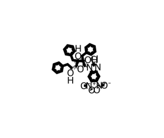 O=[N+]([O-])c1cc2nc(Cl)n([C@@H]3O[C@H](C(O)Cc4ccccc4)[C@](O)(Cc4ccccc4)[C@]3(O)Cc3ccccc3)c2cc1[N+](=O)[O-]